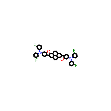 Fc1cccc(N(c2cccc(F)c2)c2ccc3c(c2)oc2c3cc3ccc4c5oc6cc(N(c7cccc(F)c7)c7cccc(F)c7)ccc6c5cc5ccc2c3c54)c1